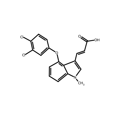 Cn1cc(C=CC(=O)O)c2c(Oc3ccc(Cl)c(Cl)c3)cccc21